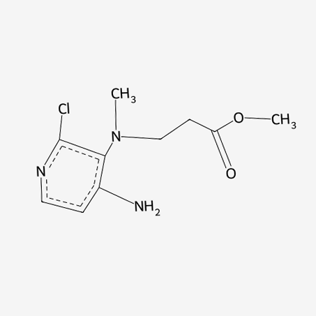 COC(=O)CCN(C)c1c(N)ccnc1Cl